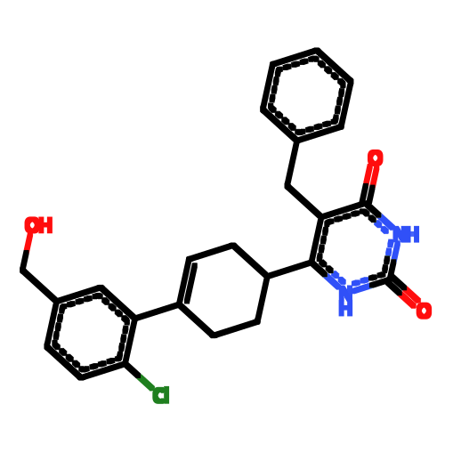 O=c1[nH]c(C2CC=C(c3cc(CO)ccc3Cl)CC2)c(Cc2ccccc2)c(=O)[nH]1